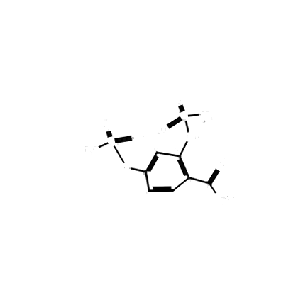 COC(=O)c1ccc(OS(=O)(=O)C(F)(F)F)cc1OS(=O)(=O)C(F)(F)F